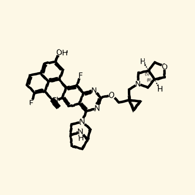 C#Cc1c(F)ccc2cc(O)cc(-c3c(Cl)cc4c(N5CC6CCC(C5)N6)nc(OCC5(CN6C[C@H]7COC[C@H]7C6)CC5)nc4c3F)c12